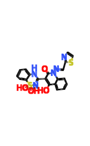 O=c1c(C2=NS(O)(O)c3ccccc3N2)c(O)c2ccccc2n1N=Cc1nccs1